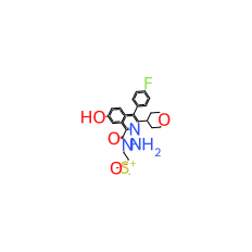 C[S+]([O-])CCN(N)C(=O)c1nc(C2CCOCC2)c(-c2ccc(F)cc2)c2ccc(O)cc12